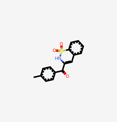 Cc1ccc(C(=O)C2=[C]c3ccccc3S(=O)(=O)N2)cc1